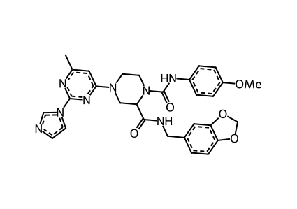 COc1ccc(NC(=O)N2CCN(c3cc(C)nc(-n4ccnc4)n3)CC2C(=O)NCc2ccc3c(c2)OCO3)cc1